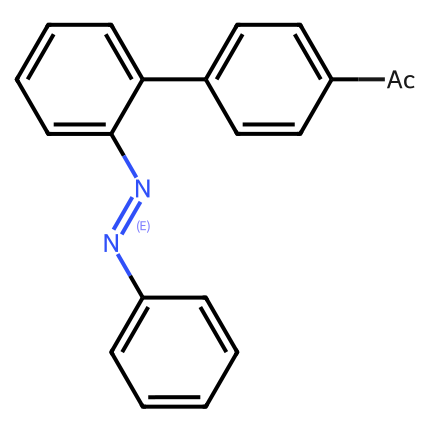 CC(=O)c1ccc(-c2ccccc2/N=N/c2ccccc2)cc1